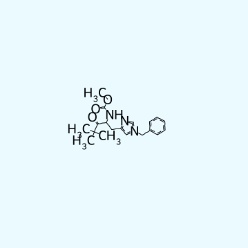 COC(=O)NC(Cc1cn(Cc2ccccc2)cn1)C(=O)C(C)(C)C